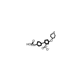 CN1CCC(Oc2ccc(-c3ccc(NC(=O)O)cc3)c([N+](=O)[O-])c2)CC1